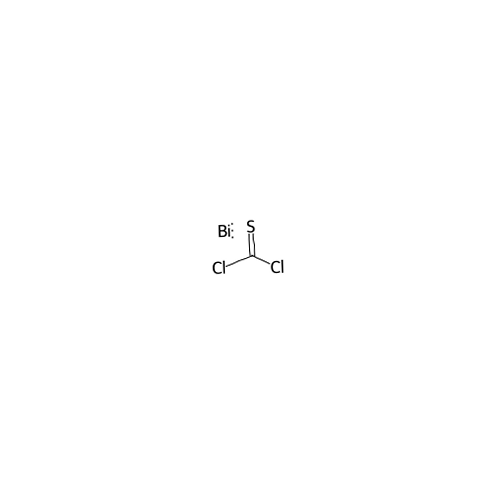 S=C(Cl)Cl.[Bi]